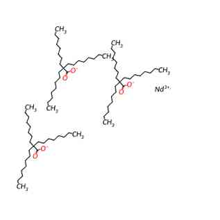 CCCCCCCCC(CCCCCCCC)(CCCCCCCC)C(=O)[O-].CCCCCCCCC(CCCCCCCC)(CCCCCCCC)C(=O)[O-].CCCCCCCCC(CCCCCCCC)(CCCCCCCC)C(=O)[O-].[Nd+3]